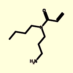 C=CC(=O)N(CCCC)CCCN